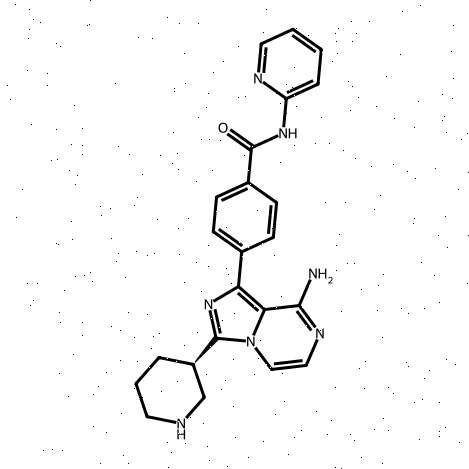 Nc1nccn2c([C@@H]3CCCNC3)nc(-c3ccc(C(=O)Nc4ccccn4)cc3)c12